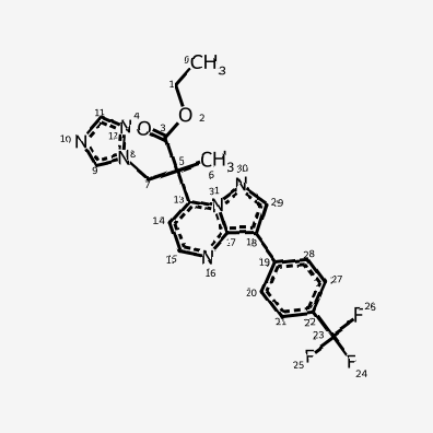 CCOC(=O)C(C)(Cn1cncn1)c1ccnc2c(-c3ccc(C(F)(F)F)cc3)cnn12